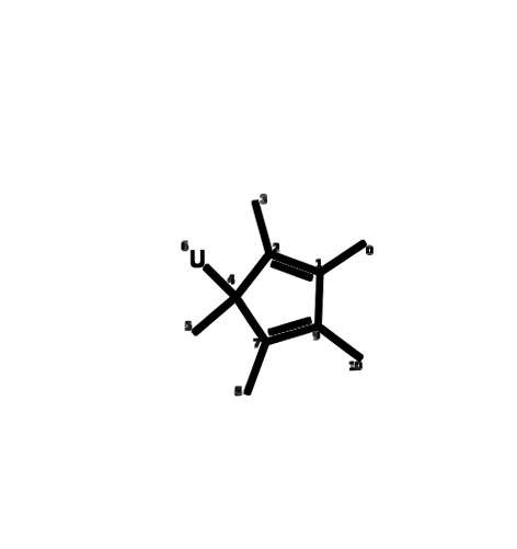 CC1=C(C)[C](C)([U])C(C)=C1C